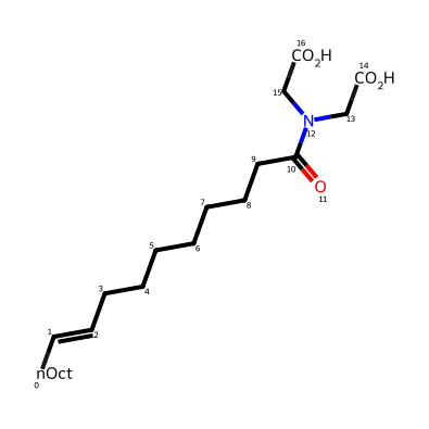 CCCCCCCCC=CCCCCCCCC(=O)N(CC(=O)O)CC(=O)O